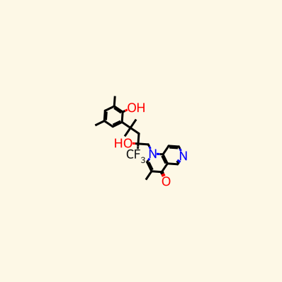 Cc1cc(C)c(O)c(C(C)(C)CC(O)(Cn2cc(C)c(=O)c3cnccc32)C(F)(F)F)c1